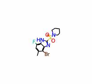 Cc1cc(F)c2[nH]c(S(=O)(=O)N3CCCCC3)nc2c1Br